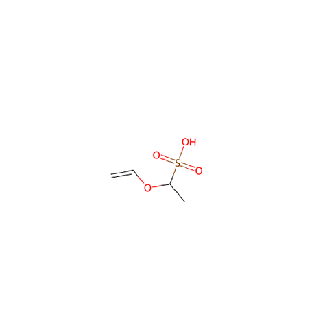 C=COC(C)S(=O)(=O)O